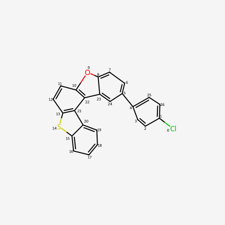 Clc1ccc(-c2ccc3oc4ccc5sc6ccccc6c5c4c3c2)cc1